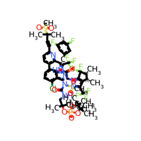 C[C@@H]1c2c(C(F)(F)F)nn(CC(=O)N[C@@H](Cc3cc(F)cc(F)c3)c3nc(C#CC(C)(C)S(C)(=O)=O)ccc3-c3ccc(Cl)c4c(N(C(=O)NCC(C)(C)OP(=O)(OC(C)(C)C)OC(C)(C)C)S(C)(=O)=O)nn(CC(F)(F)F)c34)c2C(F)(F)[C@@H]1C